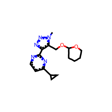 Cn1nnc(-c2nccc(C3CC3)n2)c1COC1CCCCO1